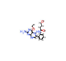 CCOc1nc(N)nc2ncc(-c3ccccc3NC(=O)CCC=O)nc12